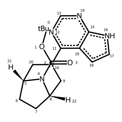 CC(C)(C)OC(=O)N1[C@@H]2CC[C@H]1CN(c1ncnc3[nH]ccc13)C2